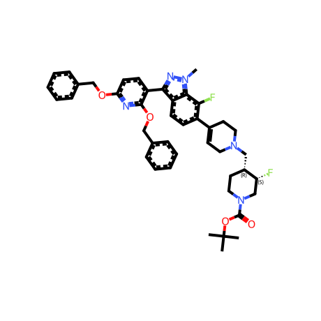 Cn1nc(-c2ccc(OCc3ccccc3)nc2OCc2ccccc2)c2ccc(C3=CCN(C[C@H]4CCN(C(=O)OC(C)(C)C)C[C@H]4F)CC3)c(F)c21